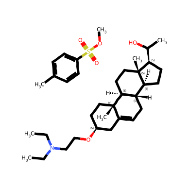 CCN(CC)CCO[C@H]1CC[C@@]2(C)C(=CC[C@H]3[C@@H]4CC[C@H](C(C)O)[C@@]4(C)CC[C@@H]32)C1.COS(=O)(=O)c1ccc(C)cc1